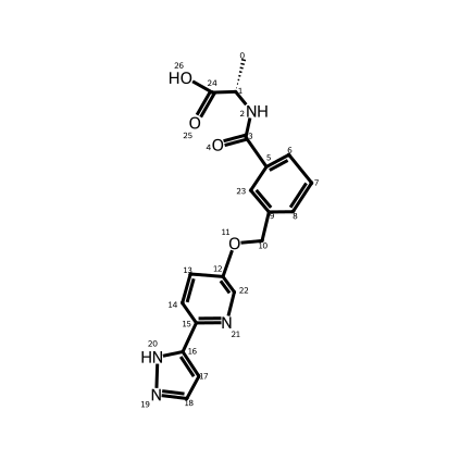 C[C@H](NC(=O)c1cccc(COc2ccc(-c3ccn[nH]3)nc2)c1)C(=O)O